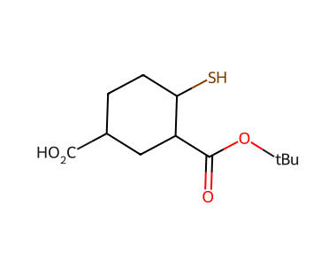 CC(C)(C)OC(=O)C1CC(C(=O)O)CCC1S